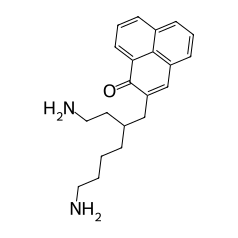 NCCCCC(CCN)CC1=Cc2cccc3cccc(c23)C1=O